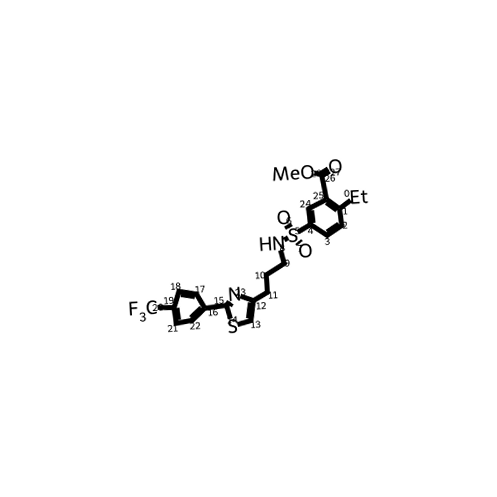 CCc1ccc(S(=O)(=O)NCCCc2csc(-c3ccc(C(F)(F)F)cc3)n2)cc1C(=O)OC